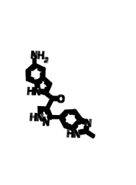 Cc1nc2ccc(-c3n[nH]cc3C(=O)c3cc4cc(N)ccc4[nH]3)cc2[nH]1